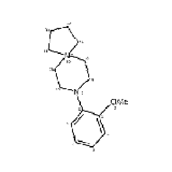 COc1ccccc1N1CC[N+]2(CCCC2)CC1